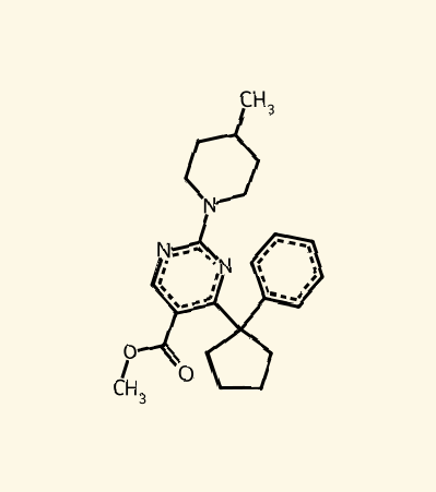 COC(=O)c1cnc(N2CCC(C)CC2)nc1C1(c2ccccc2)CCCC1